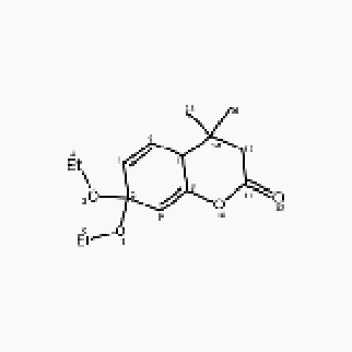 CCOC1(OCC)C=CC2C(=C1)OC(=O)CC2(C)C